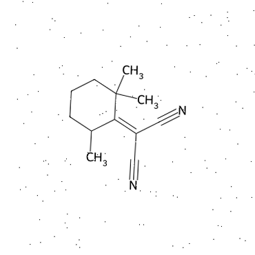 CC1CCCC(C)(C)C1=C(C#N)C#N